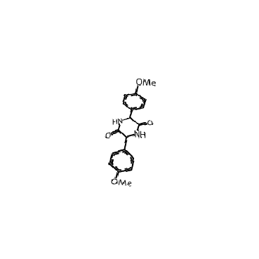 COc1ccc(C2NC(=O)C(c3ccc(OC)cc3)NC2=O)cc1